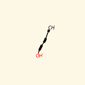 C#CC#CC#CO